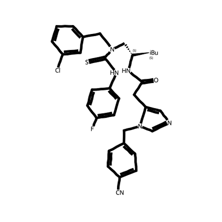 CC[C@H](C)[C@@H](CN(Cc1cccc(Cl)c1)C(=S)Nc1ccc(F)cc1)NC(=O)Cc1cncn1Cc1ccc(C#N)cc1